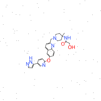 CC1(NC(=O)CO)CCN(Cc2ccc3cc(Oc4ccc(-c5ccn[nH]5)cn4)ccc3n2)CC1